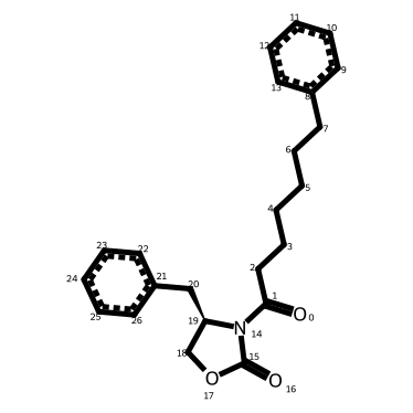 O=C(CCCCCCc1ccccc1)N1C(=O)OC[C@H]1Cc1ccccc1